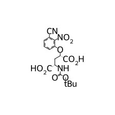 CC(C)(C)OC(=O)N[C@@H](C[C@H](Oc1cccc(C#N)c1[N+](=O)[O-])C(=O)O)C(=O)O